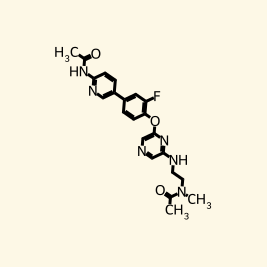 CC(=O)Nc1ccc(-c2ccc(Oc3cncc(NCCN(C)C(C)=O)n3)c(F)c2)cn1